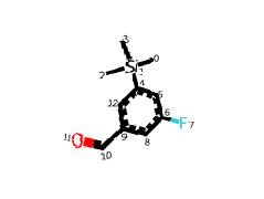 C[Si](C)(C)c1cc(F)cc(C=O)c1